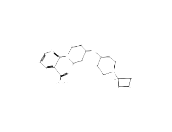 CNC(=O)c1cccnc1N1CCC(OC2CCN(C3CCC3)CC2)CC1